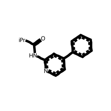 CC(C)C(=O)Nc1cc(-c2ccccc2)ccn1